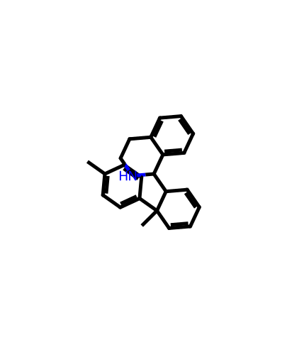 Cc1ccc(C2(C)C=CC=CC2C2NCCc3ccccc32)cc1